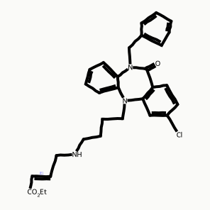 CCOC(=O)/C=C/CNCCCCN1c2cc(Cl)ccc2C(=O)N(Cc2ccccc2)c2ccccc21